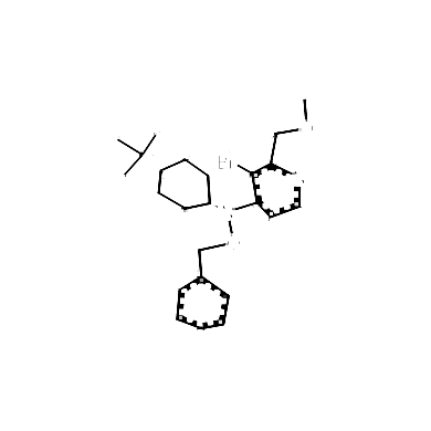 COCc1nccc(N(OCc2ccccc2)[C@H]2CC[C@@H](C(C)(C)C)CC2)c1Br